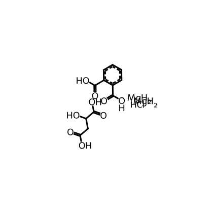 Cl.O=C(O)CC(O)C(=O)O.O=C(O)c1ccccc1C(=O)O.[MgH2].[MgH2]